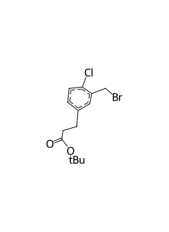 CC(C)(C)OC(=O)CCc1ccc(Cl)c(CBr)c1